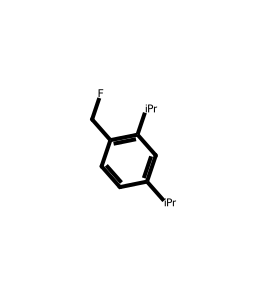 CC(C)c1ccc(CF)c(C(C)C)c1